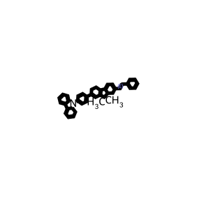 CC1(C)C2=C(CCC(c3ccc(N4c5ccccc5C5=CC=CCC54)cc3)=C2)C2=CC=C(/C=C/c3ccccc3)CC21